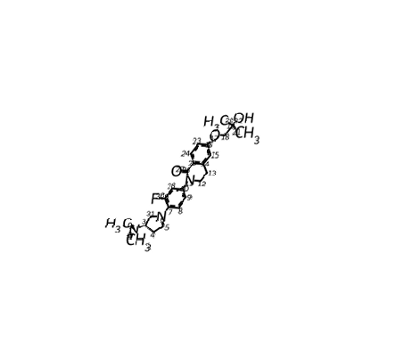 CN(C)[C@@H]1CCN(c2ccc(N3CCc4cc(OCC(C)(C)O)ccc4C3=O)cc2F)C1